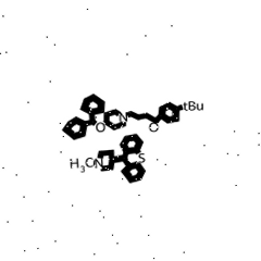 CC(C)(C)c1ccc(C(=O)CCCN2CCC(OC(c3ccccc3)c3ccccc3)CC2)cc1.CN1CCC(=C2c3ccccc3Sc3ccccc32)CC1